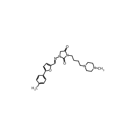 Cc1ccc(-c2ccc(/C=N/N3CC(=O)N(CCCCN4CCN(C)CC4)C3=O)o2)cc1